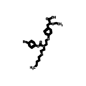 CCCCCSCCN(CCOc1ccc(CC(OCC)C(=O)O)cc1)C(=O)Oc1ccc(Br)cc1